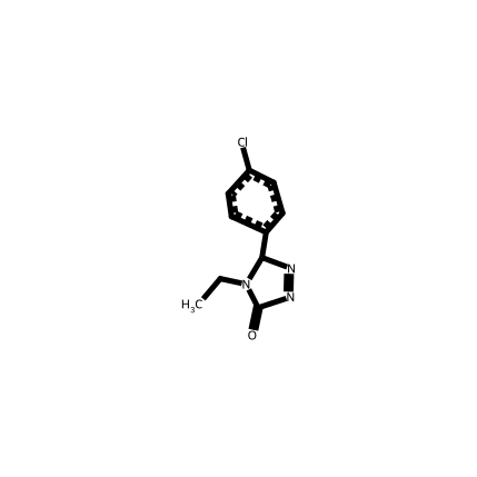 CCN1C(=O)N=NC1c1ccc(Cl)cc1